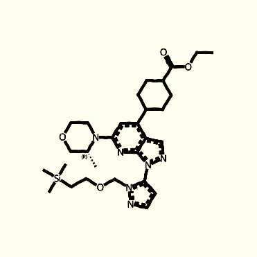 CCOC(=O)C1CCC(c2cc(N3CCOC[C@H]3C)nc3c2cnn3-c2ccnn2COCC[Si](C)(C)C)CC1